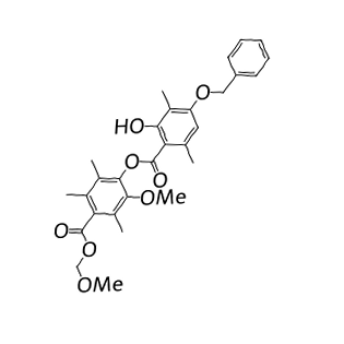 COCOC(=O)c1c(C)c(C)c(OC(=O)c2c(C)cc(OCc3ccccc3)c(C)c2O)c(OC)c1C